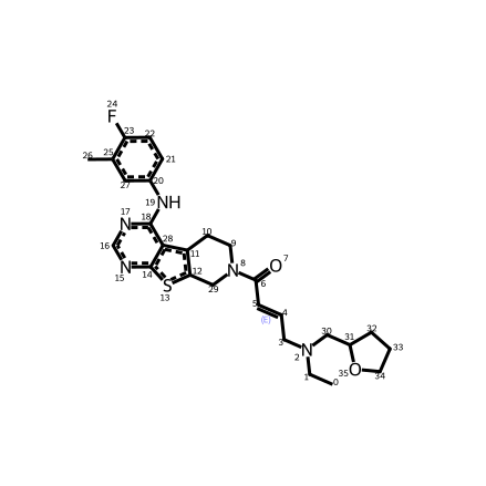 CCN(C/C=C/C(=O)N1CCc2c(sc3ncnc(Nc4ccc(F)c(C)c4)c23)C1)CC1CCCO1